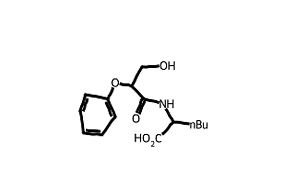 CCCCC(NC(=O)C(CO)Oc1ccccc1)C(=O)O